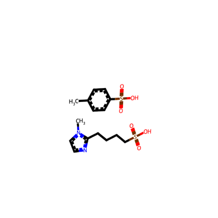 Cc1ccc(S(=O)(=O)O)cc1.Cn1ccnc1CCCCS(=O)(=O)O